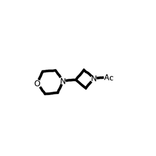 CC(=O)N1CC(N2CCOCC2)C1